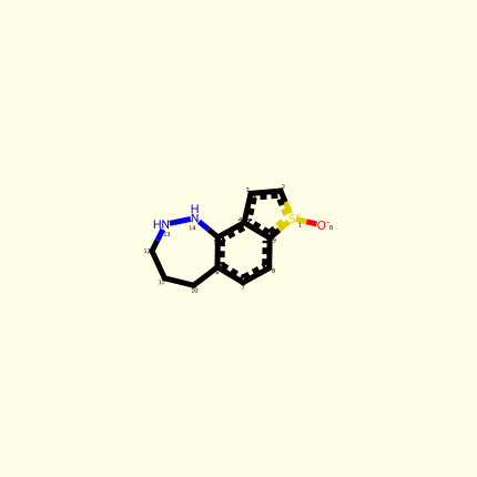 [O-][s+]1ccc2c3c(ccc21)CCCNN3